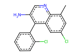 Cc1cc(Cl)cc2c(-c3ccccc3Cl)c(N)cnc12